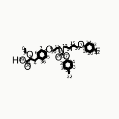 CCOC(Cc1ccc(OCCN(CCCCOc2ccc(F)cc2)C(=O)Oc2ccc(C)cc2)cc1)C(=O)O